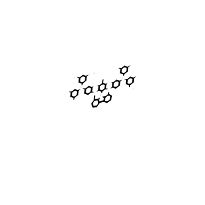 Cc1c2c3c4c5c1Oc1cc(N(c6cc(C(C)(C)C)cc(C(C)(C)C)c6)c6cc(C(C)(C)C)cc(C(C)(C)C)c6)ccc1B5c1cccc5c6cccc(c6n-4c15)B3c1ccc(N(c3cc(C(C)(C)C)cc(C(C)(C)C)c3)c3cc(C(C)(C)C)cc(C(C)(C)C)c3)cc1O2